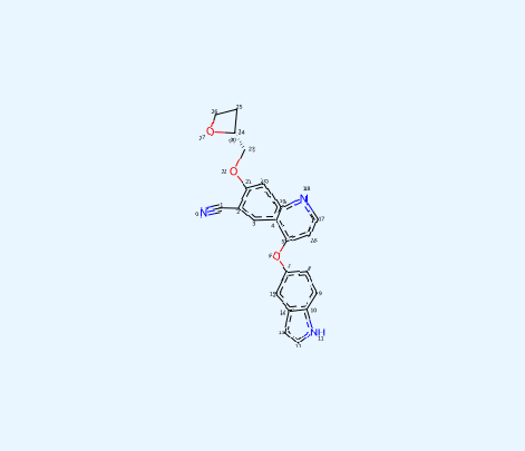 N#Cc1cc2c(Oc3ccc4[nH]ccc4c3)ccnc2cc1OC[C@H]1CCO1